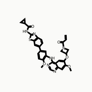 C=CC(=O)N1CC(Oc2cc3c(Nc4cc(-c5ccc6nc(NC(=O)C7CC7)sc6c5)ccc4OC)ncnc3cc2OC)C1